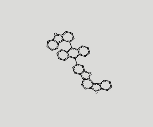 c1ccc2c(c1)oc1cccc(-c3c4ccccc4c(-c4ccc5c(c4)sc4c5ccc5sc6ccccc6c54)c4ccccc34)c12